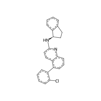 Clc1ccccc1-c1cccc2nc(N[C@@H]3CCc4ccccc43)ccc12